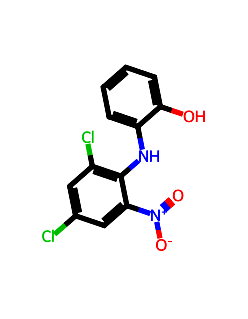 O=[N+]([O-])c1cc(Cl)cc(Cl)c1Nc1ccccc1O